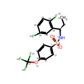 CC[C@@H](NS(=O)(=O)c1ccc(OC(F)(F)F)cc1)c1cc(F)ccc1F